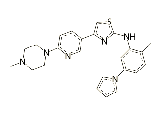 Cc1ccc(-n2cccc2)cc1Nc1nc(-c2ccc(N3CCN(C)CC3)nc2)cs1